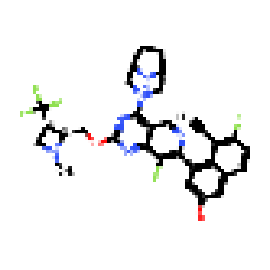 C#Cc1c(F)ccc2cc(O)cc(-c3ncc4c(N5CC6CCC(C5)N6)nc(OC[C@@H]5[C@H](C(F)(F)F)CN5C)nc4c3F)c12